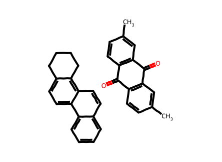 Cc1ccc2c(c1)C(=O)c1cc(C)ccc1C2=O.c1ccc2c(c1)ccc1c3c(ccc12)CCCC3